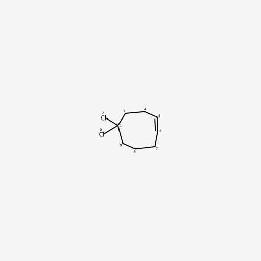 ClC1(Cl)CCC=CCCC1